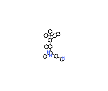 c1ccc(-c2nc(-c3ccc(-c4cccnc4)cc3)cc(-c3ccc(-c4ccc5c(c4)-c4cc6ccccc6cc4C5(c4ccccc4)c4ccccc4)c4ccccc34)n2)cc1